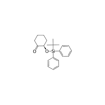 CC(C)(C)[Si](O[C@@H]1CCCCC1=O)(c1ccccc1)c1ccccc1